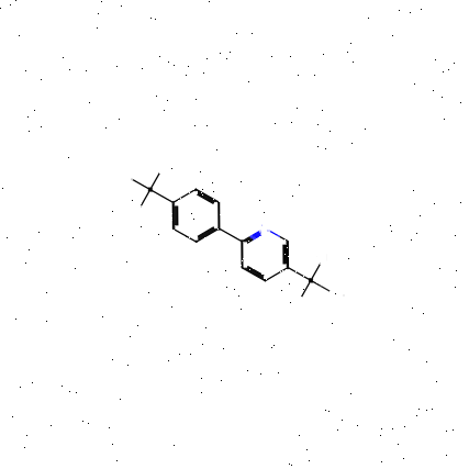 [2H]C([2H])([2H])c1ccc(-c2ccc(C([2H])([2H])C(C)(C)C)cn2)cc1